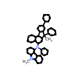 Cn1c2ccccc2c2c(N(c3ccccc3)c3cc4c(c5ccccc35)-c3ccc(-c5ccccc5)cc3C4(C)c3ccccc3)cccc21